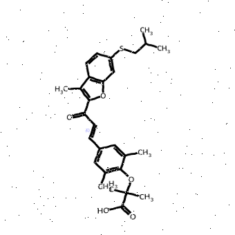 Cc1cc(/C=C/C(=O)c2oc3cc(SCC(C)C)ccc3c2C)cc(C)c1OC(C)(C)C(=O)O